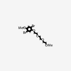 COCCOCCOCCOc1cc(Br)c(OC)cc1Br